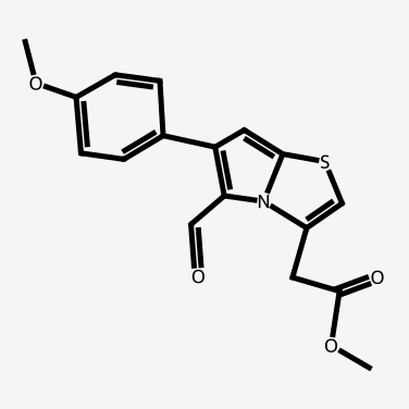 COC(=O)Cc1csc2cc(-c3ccc(OC)cc3)c(C=O)n12